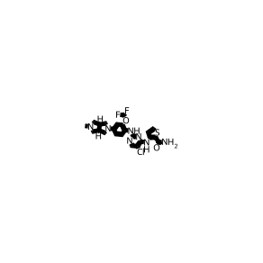 CN1C[C@@H]2CN(c3ccc(Nc4ncc(Cl)c(Nc5ccsc5C(N)=O)n4)c(OC(F)F)c3)C[C@@H]2C1